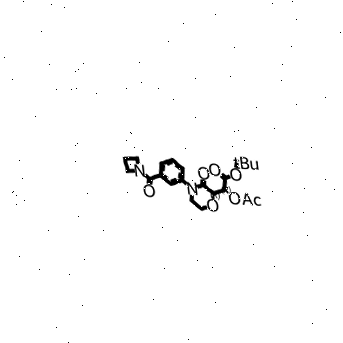 CC(=O)O[C@@H](C(=O)OC(C)(C)C)[C@H]1OCCN(c2cccc(C(=O)N3CCC3)c2)C1=O